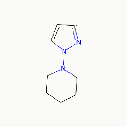 [c]1ccn(N2CCCCC2)n1